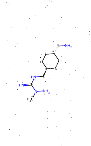 CN(N)C(=N)NC[C@H]1CC[C@H](CN)CC1